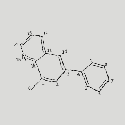 Cc1cc(-c2ccccc2)cc2cccnc12